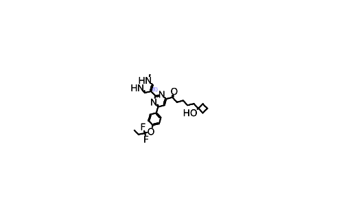 CCC(F)(F)Oc1ccc(-c2cc(C(=O)CCCCC3(O)CCC3)nc(/C(C=N)=C/NC)n2)cc1